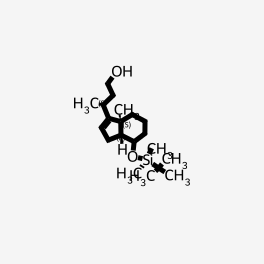 C[C@@H](CCO)C1=CC[C@H]2C(O[Si](C)(C)C(C)(C)C)CCC[C@]12C